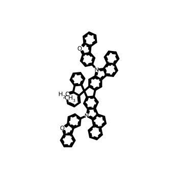 C=C1/C(=C\C=C/C)C2(c3ccccc31)c1cc3c(cc1-c1cc4c5ccc6ccccc6c5n(-c5ccc6oc7ccccc7c6c5)c4cc12)c1ccc2ccccc2c1n3-c1ccc2oc3ccccc3c2c1